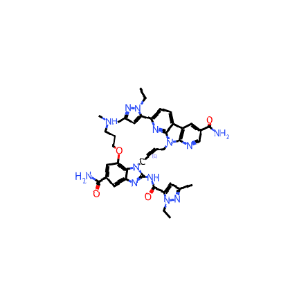 CCn1nc(C)cc1C(=O)Nc1nc2cc(C(N)=O)cc(OCCCNC)c2n1C/C=C/Cn1c2ncc(C(N)=O)cc2c2ccc(-c3cc(C)nn3CC)nc21